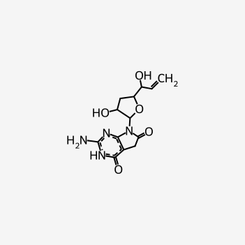 C=CC(O)C1CC(O)C(N2C(=O)Cc3c2nc(N)[nH]c3=O)O1